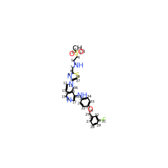 CS(=O)(=O)CCNCc1nc(N2C=Cc3cncc(Nc4ccc(OCc5cccc(F)c5)cc4)c3C2)cs1